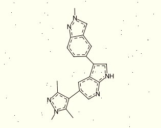 Cc1nn(C)c(C)c1-c1cnc2[nH]cc(-c3ccc4nn(C)cc4c3)c2c1